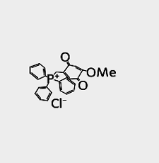 COC1=CC(=O)C(C[P+](c2ccccc2)(c2ccccc2)c2ccccc2)=CC1=O.[Cl-]